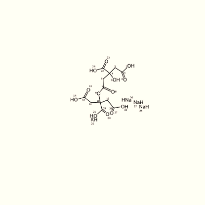 O=C(O)CC(O)(CC(=O)OC(CC(=O)O)(CC(=O)O)C(=O)O)C(=O)O.[KH].[NaH].[NaH].[NaH]